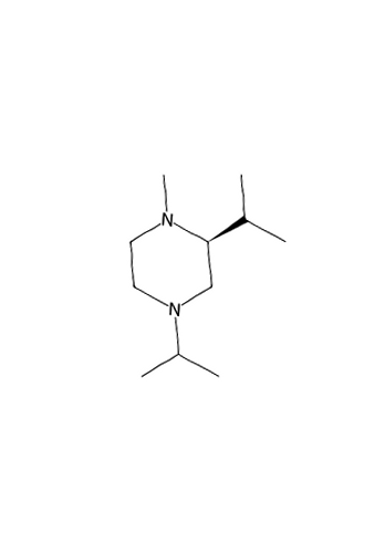 CC(C)[C@H]1CN(C(C)C)CCN1C